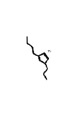 CCCCC1=C[C](CCC)C=C1.[Zr]